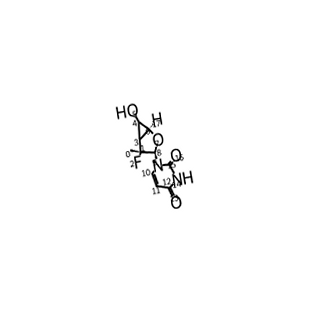 C[C@@]1(F)C2C(O)[C@H]2O[C@H]1n1ccc(=O)[nH]c1=O